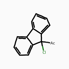 CC(=O)C1(Cl)c2ccccc2-c2ccccc21